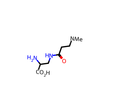 CNCCC(=O)NCC(N)C(=O)O